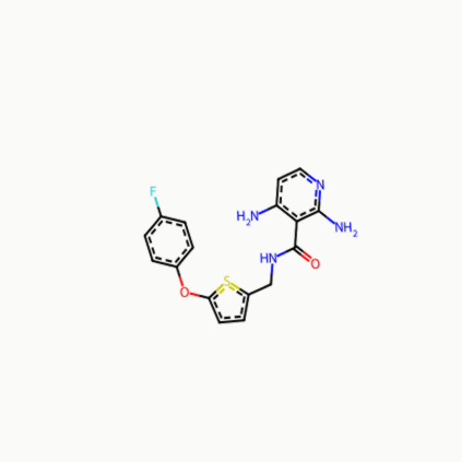 Nc1ccnc(N)c1C(=O)NCc1ccc(Oc2ccc(F)cc2)s1